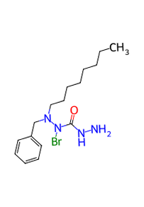 CCCCCCCCN(Cc1ccccc1)N(Br)C(=O)NN